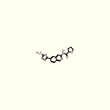 Cc1nnc(-c2ccc3cnc(NC(=O)C4CCCO4)cc3c2)s1